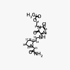 CC(=O)OCCn1c(Cl)cnc(NCCC2CCCCN2CC(N)=O)c1=O